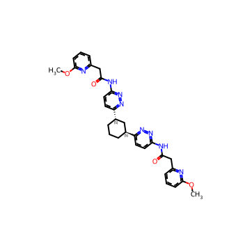 COc1cccc(CC(=O)Nc2ccc([C@H]3CCC[C@H](c4ccc(NC(=O)Cc5cccc(OC)n5)nn4)C3)nn2)n1